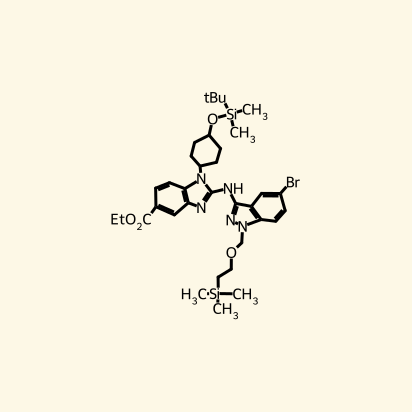 CCOC(=O)c1ccc2c(c1)nc(Nc1nn(COCC[Si](C)(C)C)c3ccc(Br)cc13)n2C1CCC(O[Si](C)(C)C(C)(C)C)CC1